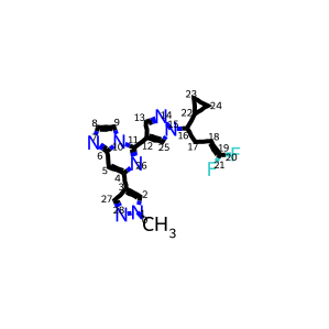 Cn1cc(-c2cc3nccn3c(-c3cnn(C(CC=C(F)F)C4CC4)c3)n2)cn1